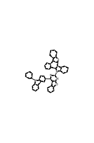 c1ccc(-n2c3ccccc3c3cc(-c4nc(-n5c6ccccc6c6c7sc8ccccc8c7c7ccccc7c65)nc5oc6ccccc6c45)ccc32)cc1